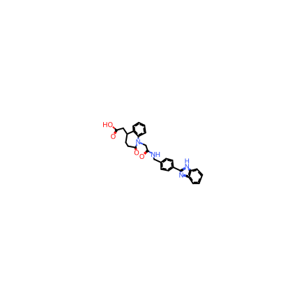 O=C(O)CC1CCC(=O)N(CC(=O)NCc2ccc(-c3nc4ccccc4[nH]3)cc2)c2ccccc21